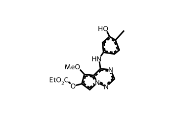 CCOC(=O)Oc1cn2ncnc(Nc3ccc(C)c(O)c3)c2c1OC